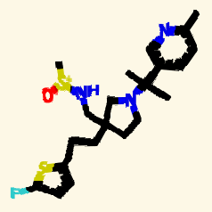 Cc1ccc(C(C)(C)N2CCC(CCc3ccc(F)s3)(CN[S+](C)[O-])C2)cn1